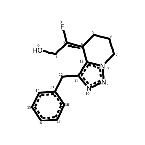 OC/C(F)=C1/CCCn2nnc(Cc3ccccc3)c21